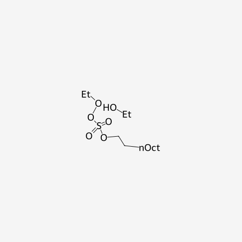 CCCCCCCCCCOS(=O)(=O)OOCC.CCO